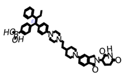 CC/C(=C(/c1ccc(B(O)O)cc1)c1ccc(N2CCN(CCC3CCN(c4ccc5c(c4)CN(C4CCC(=O)NC4=O)C5=O)CC3)CC2)cc1)c1ccccc1